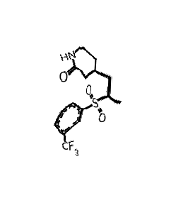 CC(CC1CCNC(=O)C1)S(=O)(=O)c1cccc(C(F)(F)F)c1